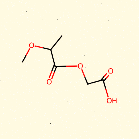 COC(C)C(=O)OCC(=O)O